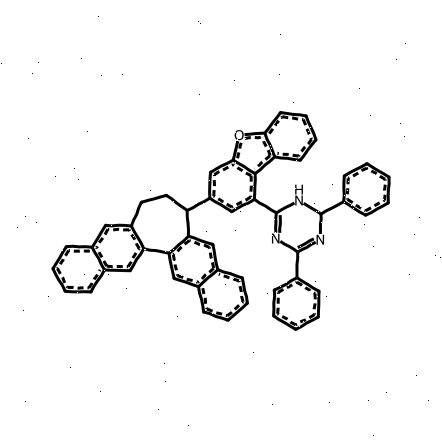 c1ccc(C2=NC(c3ccccc3)NC(c3cc(C4CCc5cc6ccccc6cc5-c5cc6ccccc6cc54)cc4oc5ccccc5c34)=N2)cc1